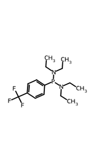 CCN(CC)P(c1ccc(C(F)(F)F)cc1)N(CC)CC